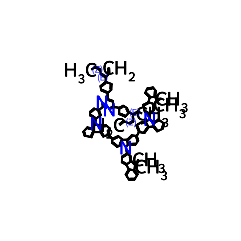 C=C/C=C\C(=C/C)c1ccc(-c2cc(-c3ccc(/C(C=C)=C/C=C\C)cc3)nc(-c3cccc(-n4c5ccccc5c5cc(-c6ccc7c(c6)c6cc(-c8ccc9c(c8)c8ccccc8n9-c8ccc9c(c8)C(C)(C)c8ccccc8-9)ccc6n7-c6ccc7c(c6)C(C)(C)c6ccccc6-7)ccc54)c3)n2)cc1